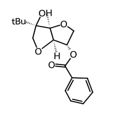 CC(C)(C)[C@@]1(O)CO[C@@H]2[C@@H](OC(=O)c3ccccc3)CO[C@@]21C